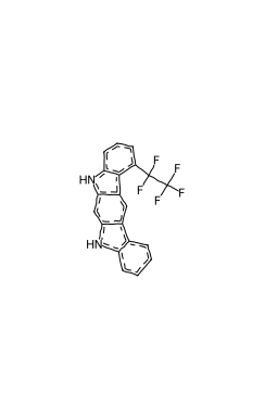 FC(F)(F)C(F)(F)c1cccc2[nH]c3cc4[nH]c5ccccc5c4cc3c12